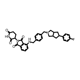 O=C1CCC(N2C(=O)c3cccc(NCc4ccc(CN5CC6CC(c7ccc(F)cc7)CC6C5)cc4)c3C2=O)C(=O)N1